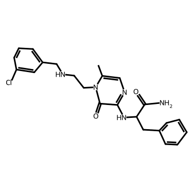 Cc1cnc(NC(Cc2ccccc2)C(N)=O)c(=O)n1CCNCc1cccc(Cl)c1